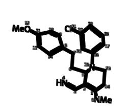 CNC1=C(C=N)C(CCc2ccc(OC)cc2)N(c2cccc(Cl)c2)CC1